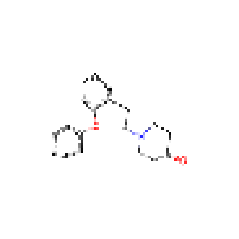 O=C1CCN(CCc2ccccc2Oc2ccccc2)CC1